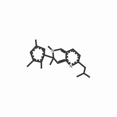 Cc1cc(C)c(C)c(C2(C)C=c3nc(CC(C)C)ccc3=CN2C)c1